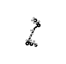 O=C1CCC(N2Cc3c(C#CCCNCCOCCOCCNC(=O)C4(Cc5cccc(Nc6nccs6)n5)CCCCC4)cccc3C2=O)C(=O)N1